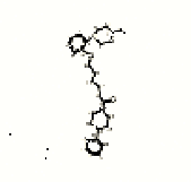 CN1CCN(c2ccccc2OCCCCCC(=O)N2CCC(c3ccccc3)CC2)CC1